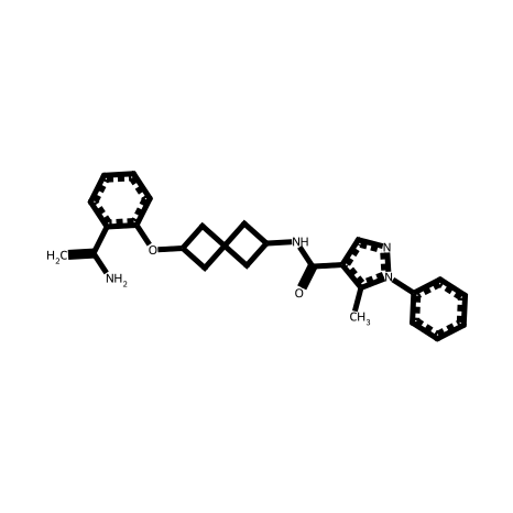 C=C(N)c1ccccc1OC1CC2(CC(NC(=O)c3cnn(-c4ccccc4)c3C)C2)C1